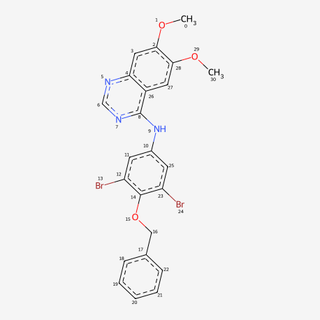 COc1cc2ncnc(Nc3cc(Br)c(OCc4ccccc4)c(Br)c3)c2cc1OC